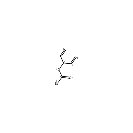 C=CC(C=C)OC(=O)CC